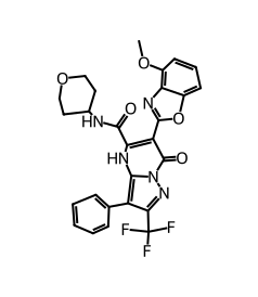 COc1cccc2oc(-c3c(C(=O)NC4CCOCC4)[nH]c4c(-c5ccccc5)c(C(F)(F)F)nn4c3=O)nc12